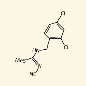 CSC(=NC#N)NCc1ccc(Cl)cc1Cl